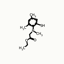 CCOC(=O)CN(C)c1c(C)cc(C)cc1S